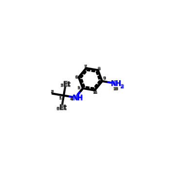 CCC(C)(CC)Nc1cccc(N)c1